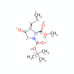 C=CC[C@@H]1C(=O)CN(C(=O)OC(C)(C)C)[C@@H]1C(=O)OC